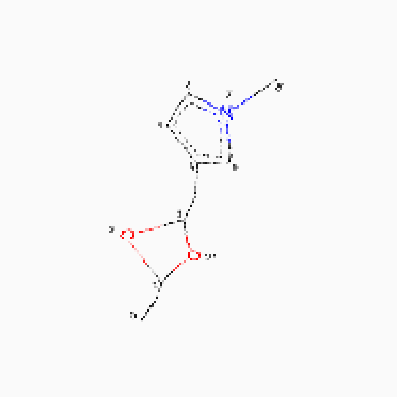 CC1OC(c2ccn(C)c2)O1